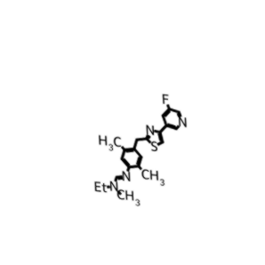 CCN(C)/C=N/c1cc(C)c(Cc2nc(-c3cncc(F)c3)cs2)cc1C